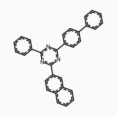 c1ccc(-c2ccc(-c3nc(-c4ccccc4)nc(-c4ccc5ccccc5c4)n3)cc2)cc1